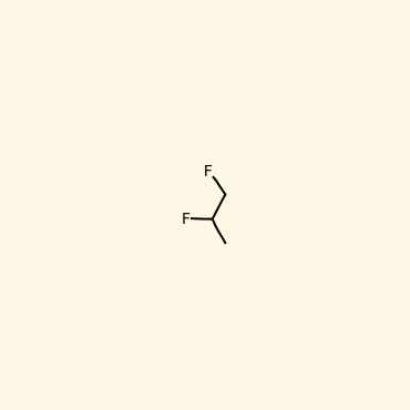 CC(F)CF